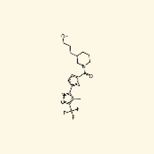 Cc1c(-c2ccc(C(=O)N3CCCC(CCCO)C3)s2)noc1C(F)(F)F